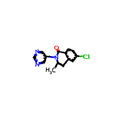 CC1Cc2cc(Cl)ccc2C(=O)N1c1cncnc1